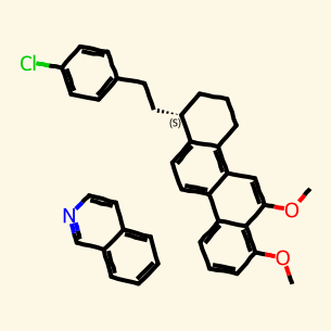 COc1cccc2c1c(OC)cc1c3c(ccc12)[C@H](CCc1ccc(Cl)cc1)CCC3.c1ccc2cnccc2c1